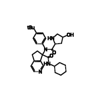 CC(C)(C)c1ccc(N(C(=O)C2CC(O)CN2)C2(C(=O)NC3CCCCC3)CCc3ccncc32)cc1